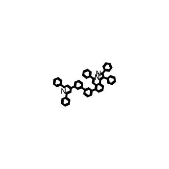 c1ccc(-c2cc(-c3cccc(-c4cccc(-c5cccc6c5cc(-c5ccccc5)n5nc(-c7ccccc7)c(-c7ccccc7)c65)c4)c3)cc(-c3ccccc3)n2)cc1